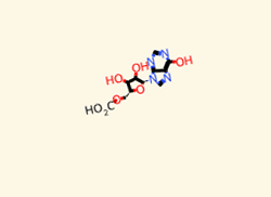 O=C(O)OC[C@H]1O[C@@H](n2cnc3c(O)ncnc32)C(O)C1O